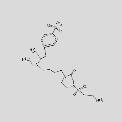 CCN(CCCCN1CCN(S(=O)(=O)CCN)CC1=O)C(C)Cc1ccc(S(C)(=O)=O)cc1